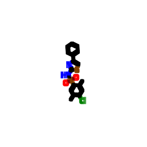 Cc1cc(S(=O)(=O)Nc2nc(-c3ccccc3)cs2)c(C)cc1Cl